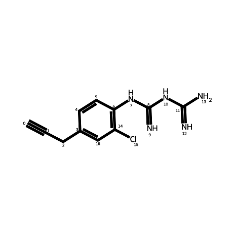 C#CCc1ccc(NC(=N)NC(=N)N)c(Cl)c1